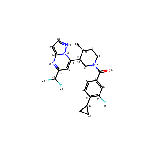 C[C@H]1CCN(C(=O)c2ccc(C3CC3)c(F)c2)C[C@H]1c1cc(C(F)F)nc2ccnn12